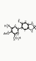 COc1c(N)nc(-c2cc3c(cc2F)OC(F)(F)O3)nc1C(=O)O